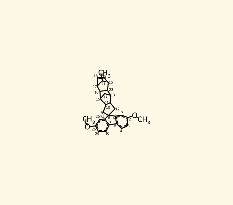 COc1ccc2c(c1)C1(CC3C(C1)C1CC3C3C4C=CC(C4C)C13)c1cc(OC)ccc1-2